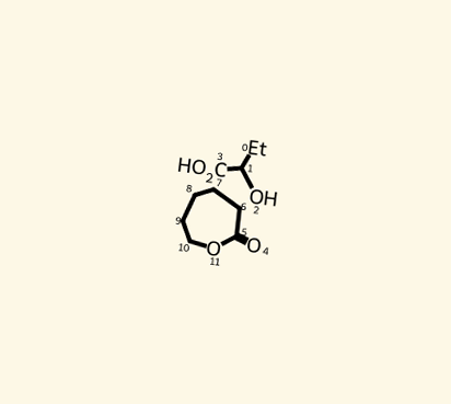 CCC(O)C(=O)O.O=C1CCCCCO1